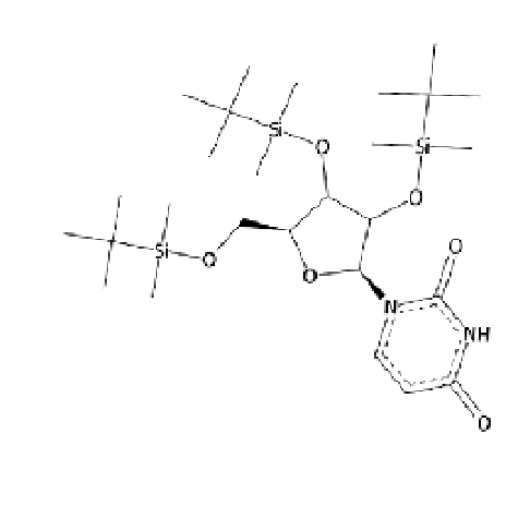 CC(C)(C)[Si](C)(C)OC[C@@H]1O[C@H](n2ccc(=O)[nH]c2=O)C(O[Si](C)(C)C(C)(C)C)C1O[Si](C)(C)C(C)(C)C